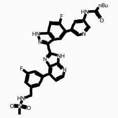 CCCCC(=O)Nc1cncc(-c2cc3c(-c4nc5c(-c6cc(F)cc(CNS(C)(=O)=O)c6)ccnc5[nH]4)n[nH]c3cc2F)c1